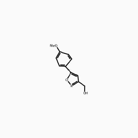 COc1ccc(-c2cc(CO)no2)cc1